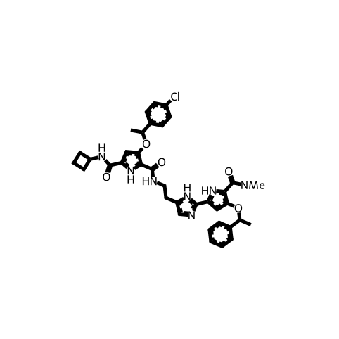 CNC(=O)c1[nH]c(-c2ncc(CCNC(=O)c3[nH]c(C(=O)NC4CCC4)cc3OC(C)c3ccc(Cl)cc3)[nH]2)cc1OC(C)c1ccccc1